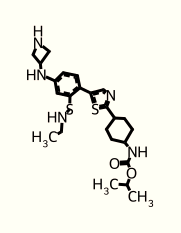 CCNSc1cc(NC2CNC2)ccc1-c1cnc(C2CCC(NC(=O)OC(C)C)CC2)s1